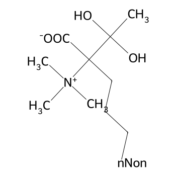 CCCCCCCCCCCCC(C(=O)[O-])(C(C)(O)O)[N+](C)(C)C